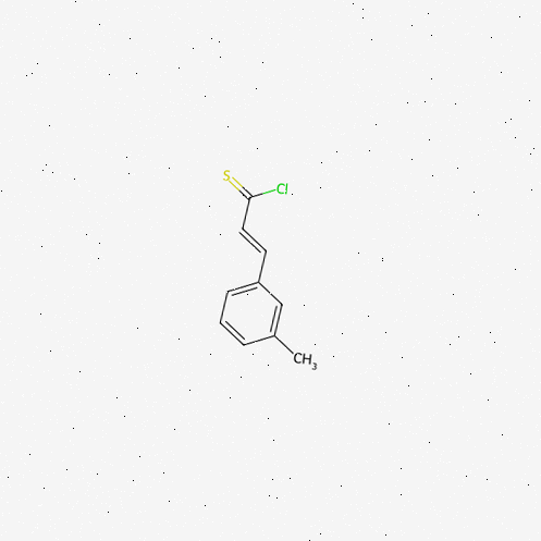 Cc1cccc(/C=C/C(=S)Cl)c1